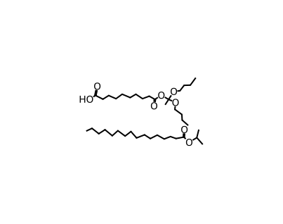 CCCCCCCCCCCCCCCC(=O)OC(C)C.CCCCOC(C)(OCCCC)OC(=O)CCCCCCCCC(=O)O